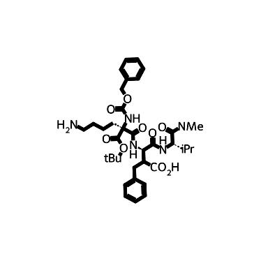 CNC(=O)[C@@H](NC(=O)[C@@H](NC(=O)[C@](CCCCN)(NC(=O)OCc1ccccc1)C(=O)OC(C)(C)C)C(Cc1ccccc1)C(=O)O)C(C)C